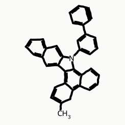 CC1=C=Cc2c(c3ccccc3c3c2c2cc4ccccc4cc2n3-c2cccc(-c3c#cccc3)c2)C1